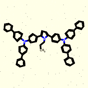 CCCn1c(-c2ccc(N(c3ccc(-c4ccccc4)cc3)c3ccc(-c4ccccc4)cc3)cc2)ccc1-c1ccc(N(c2ccc(-c3ccccc3)cc2)c2ccc(-c3ccccc3)cc2)cc1